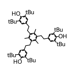 Cc1c(CCc2cc(C(C)(C)C)c(O)c(C(C)(C)C)c2)c(C)c(CCc2cc(C(C)(C)C)c(O)c(C(C)(C)C)c2)c(C)c1CCc1cc(C(C)(C)C)c(O)c(C(C)(C)C)c1